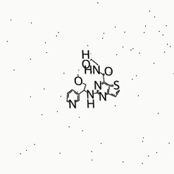 COCC(Nc1nc(C(=O)NC[C@@H](C)O)c2sccc2n1)c1cccnc1